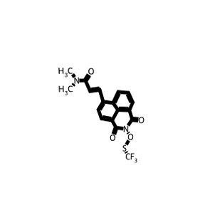 CN(C)C(=O)/C=C/c1ccc2c3c(cccc13)C(=O)N(OSC(F)(F)F)C2=O